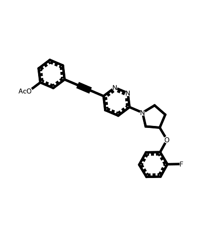 CC(=O)Oc1cccc(C#Cc2ccc(N3CCC(Oc4ccccc4F)C3)nn2)c1